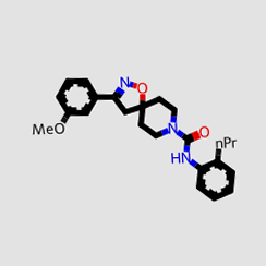 CCCc1ccccc1NC(=O)N1CCC2(CC1)CC(c1cccc(OC)c1)=NO2